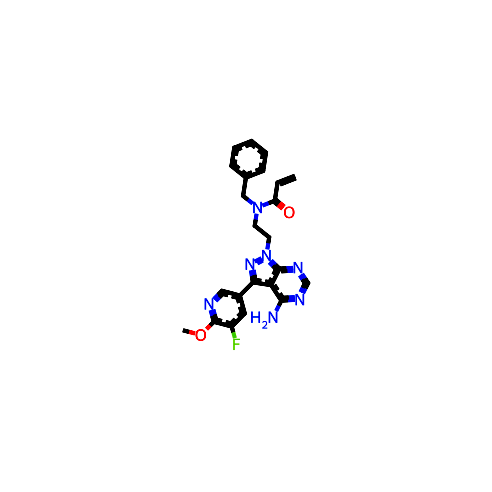 C=CC(=O)N(CCn1nc(-c2cnc(OC)c(F)c2)c2c(N)ncnc21)Cc1ccccc1